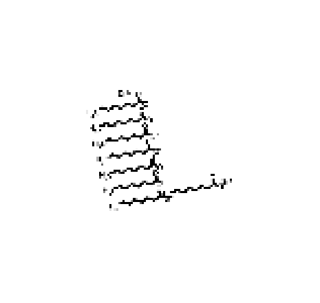 CCCCCCCC(=O)[O-].CCCCCCCC(=O)[O-].CCCCCCCC(=O)[O-].CCCCCCCC(=O)[O-].CCCCCCCC(=O)[O-].CCCCCCCC(=O)[O-].CCCCCCCC(=O)[O-].CCCCCCCC(=O)[O-].[Zr+4].[Zr+4]